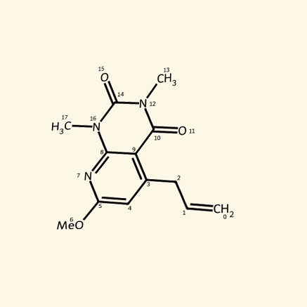 C=CCc1cc(OC)nc2c1c(=O)n(C)c(=O)n2C